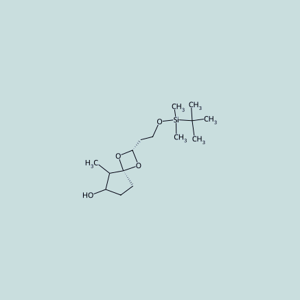 CC1C(O)CC[C@]12O[C@@H](CCO[Si](C)(C)C(C)(C)C)O2